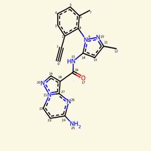 C#Cc1cccc(C)c1-n1nc(C)cc1NC(=O)c1cnn2ccc(N)nc12